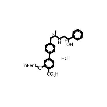 CCCCCOc1cc(-c2ccc(C[C@@H](C)NC[C@H](O)c3ccccc3)cc2)ccc1C(=O)O.Cl